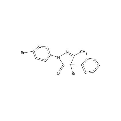 CC1=NN(c2ccc(Br)cc2)C(=O)C1(Br)c1ccccc1